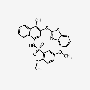 COc1ccc(OC)c(S(=O)(=O)Nc2cc(Sc3nc4ccccc4s3)c(O)c3ccccc23)c1